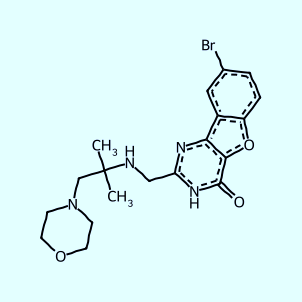 CC(C)(CN1CCOCC1)NCc1nc2c(oc3ccc(Br)cc32)c(=O)[nH]1